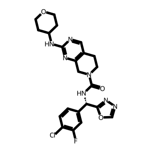 O=C(N[C@@H](c1ccc(Cl)c(F)c1)c1nnco1)N1CCc2cnc(NC3CCOCC3)nc2C1